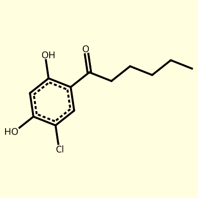 CCCCCC(=O)c1cc(Cl)c(O)cc1O